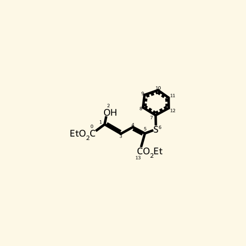 CCOC(=O)C(O)=CC=C(Sc1ccccc1)C(=O)OCC